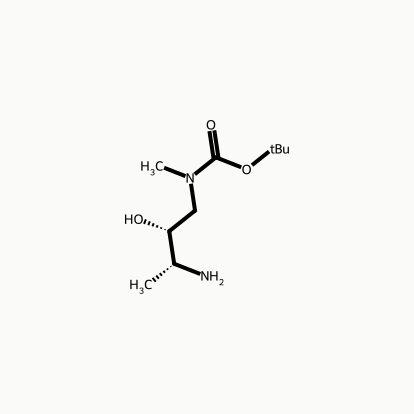 C[C@@H](N)[C@H](O)CN(C)C(=O)OC(C)(C)C